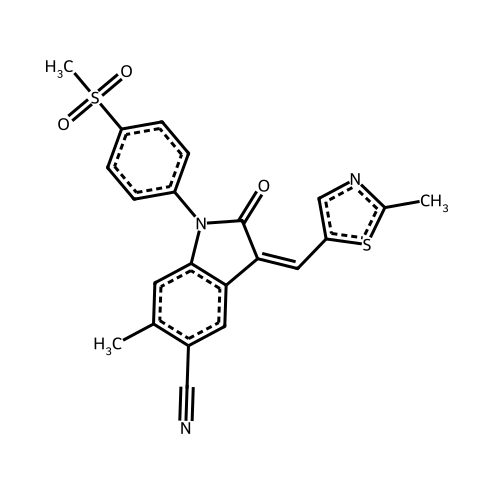 Cc1ncc(C=C2C(=O)N(c3ccc(S(C)(=O)=O)cc3)c3cc(C)c(C#N)cc32)s1